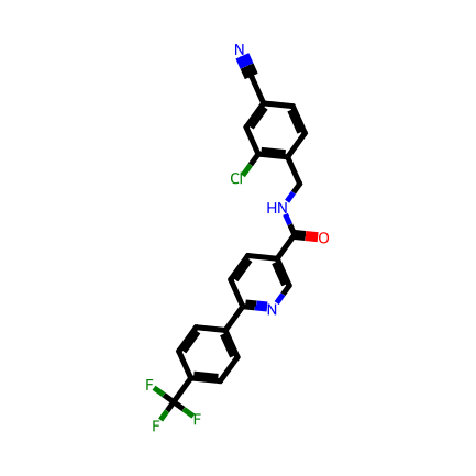 N#Cc1ccc(CNC(=O)c2ccc(-c3ccc(C(F)(F)F)cc3)nc2)c(Cl)c1